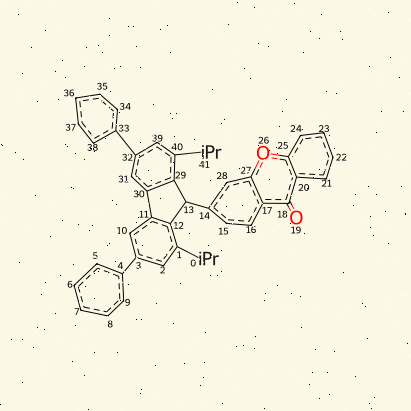 CC(C)c1cc(-c2ccccc2)cc2c1C(c1ccc3c(=O)c4ccccc4oc3c1)c1c-2cc(-c2ccccc2)cc1C(C)C